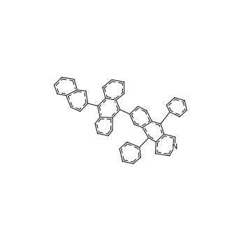 c1ccc(-c2c3ccc(-c4c5ccccc5c(-c5ccc6ccccc6c5)c5ccccc45)cc3c(-c3ccccc3)c3ccncc23)cc1